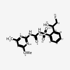 COc1cc(C)nc(NC(=O)NS(=O)(=O)c2ccccc2C(O)CF)n1